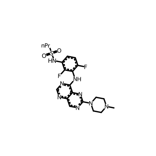 CCCS(=O)(=O)Nc1ccc(F)c(Nc2ncnc3cnc(N4CCN(C)CC4)nc23)c1F